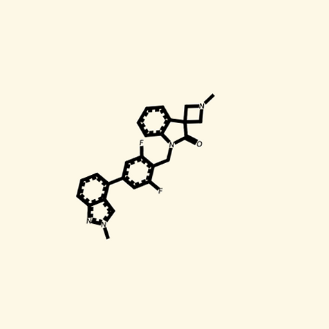 CN1CC2(C1)C(=O)N(Cc1c(F)cc(-c3cccc4nn(C)cc34)cc1F)c1ccccc12